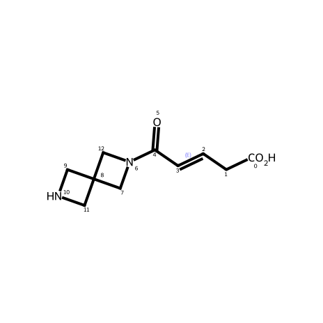 O=C(O)C/C=C/C(=O)N1CC2(CNC2)C1